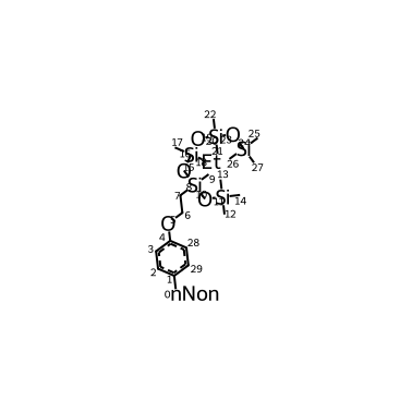 CCCCCCCCCc1ccc(OCC[Si](C)(O[Si](C)(C)C)O[Si](C)(CC)O[Si](C)(C)O[Si](C)(C)C)cc1